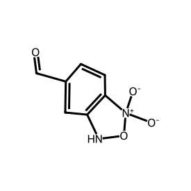 O=Cc1ccc2c(c1)NO[N+]2([O-])[O-]